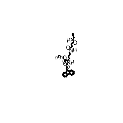 C#CCNC(=O)CCC(=O)NCCCC[C@@H](NC(=O)OCC1c2ccccc2-c2ccccc21)C(=O)OCCCC